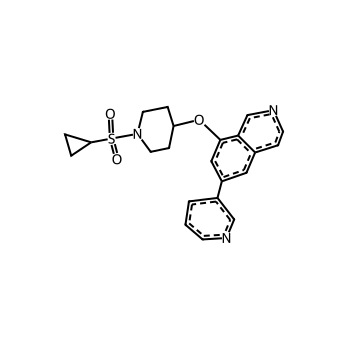 O=S(=O)(C1CC1)N1CCC(Oc2cc(-c3cccnc3)cc3ccncc23)CC1